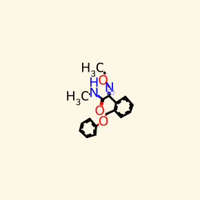 CCO/N=C(\C(=O)NC)c1ccccc1COc1ccccc1